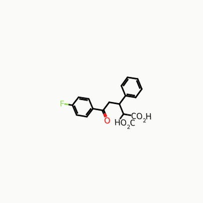 O=C(CC(c1ccccc1)C(C(=O)O)C(=O)O)c1ccc(F)cc1